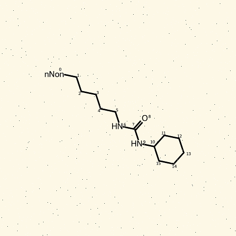 CCCCCCCCCCCCCCNC(=O)NC1CCCCC1